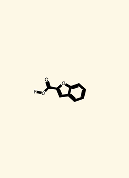 O=C(OF)c1cc2ccccc2o1